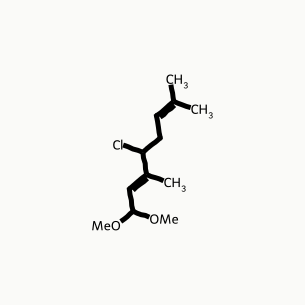 COC(/C=C(\C)C(Cl)CC=C(C)C)OC